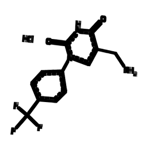 Cl.NCc1cn(-c2ccc(C(F)(F)F)cc2)c(=O)[nH]c1=O